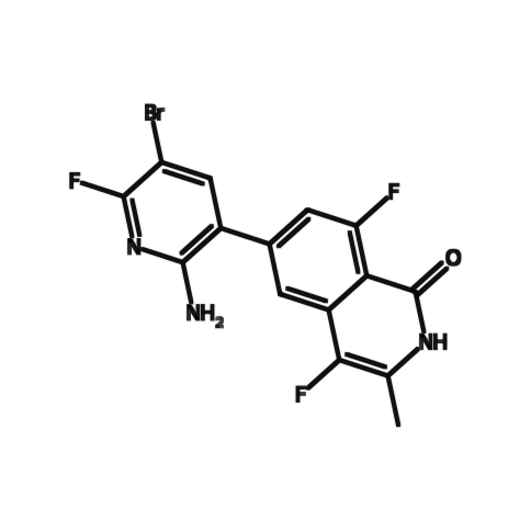 Cc1[nH]c(=O)c2c(F)cc(-c3cc(Br)c(F)nc3N)cc2c1F